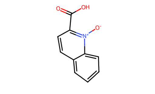 O=C(O)c1ccc2ccccc2[n+]1[O-]